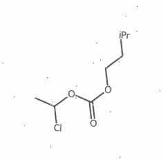 CC(C)CCOC(=O)OC(C)Cl